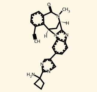 C#Cc1cccc2c1[C@H]1C[C@H](c3nc4ccc(-c5cnc(C6(N)CCC6)nc5)cc4n31)N(C)C2=O